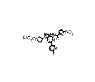 CCOC(=O)N1CC[C@H](n2ncc3c(NC(=O)c4ccc([N+](=O)[O-])s4)nc(-c4ccc(F)nc4)nc32)C1